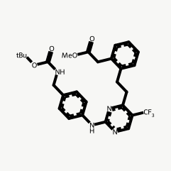 COC(=O)Cc1ccccc1CCc1nc(Nc2ccc(CNC(=O)OC(C)(C)C)cc2)ncc1C(F)(F)F